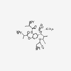 CC(C)CC(=O)OC(C)C(C)C(c1ccc(OC(=O)C(C)C(C)C)c(OC(=O)C(C)C(C)C)c1)[C@H](N)C(=O)O